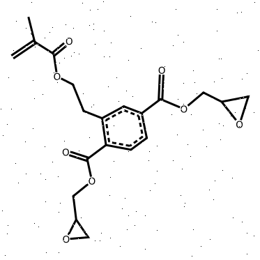 C=C(C)C(=O)OCCc1cc(C(=O)OCC2CO2)ccc1C(=O)OCC1CO1